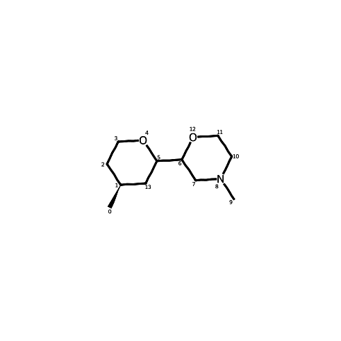 C[C@H]1CCOC(C2CN(C)CCO2)C1